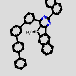 C[SiH]1c2cc3ccccc3cc2-c2nc(-c3cccc4ccccc34)nc(-c3cccc(-c4cccc(-c5ccc(-c6ccccc6)cc5)c4)c3)c21